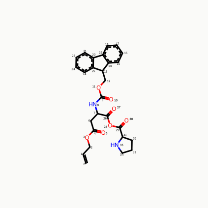 C=CCOC(=O)CC(NC(=O)OCC1c2ccccc2-c2ccccc21)C(=O)OC(=O)C1CCCN1